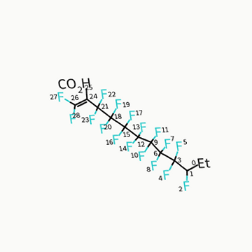 CCC(F)C(F)(F)C(F)(F)C(F)(F)C(F)(F)C(F)(F)C(F)(F)C(F)(F)C(C(=O)O)=C(F)F